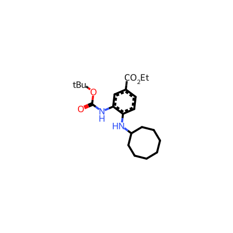 CCOC(=O)c1ccc(NC2CCCCCCC2)c(NC(=O)OC(C)(C)C)c1